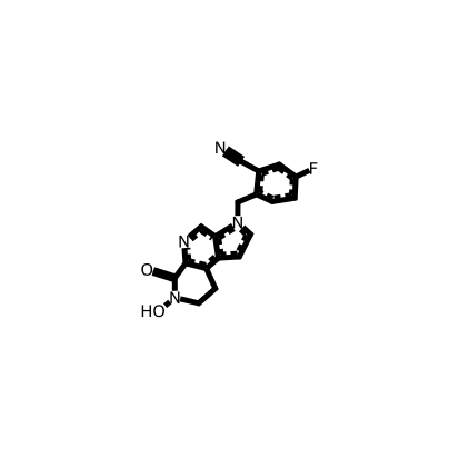 N#Cc1cc(F)ccc1Cn1ccc2c3c(ncc21)C(=O)N(O)CC3